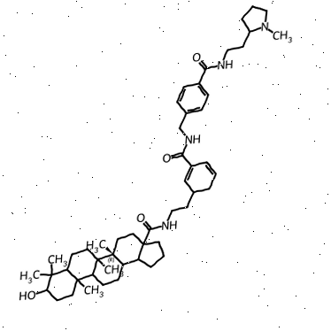 CN1CCCC1CCNC(=O)c1ccc(CNC(=O)C2=CC(CCNC(=O)C34CCCC3C3CCC5C6(C)CCC(O)C(C)(C)C6CCC5(C)[C@]3(C)CC4)CC=C2)cc1